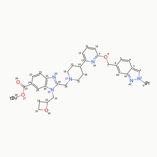 CC(C)n1cc2ccc(COc3cccc(C4CCN(Cc5nc6ccc(C(=O)OC(C)(C)C)cc6n5CC5CCO5)CC4)n3)cc2n1